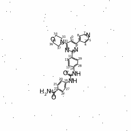 Cc1c(-c2ccncc2)nc(-c2ccc(NC(=O)Nc3ccc(C(N)=O)cc3)cc2)nc1N1CCOCC1